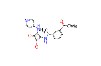 COC(=O)c1cccc(C(C)Nc2c(Nc3ccncc3)c(=O)c2=O)c1